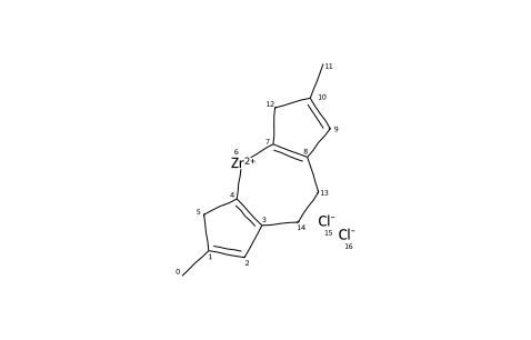 CC1=CC2=[C](C1)[Zr+2][C]1=C(C=C(C)C1)CC2.[Cl-].[Cl-]